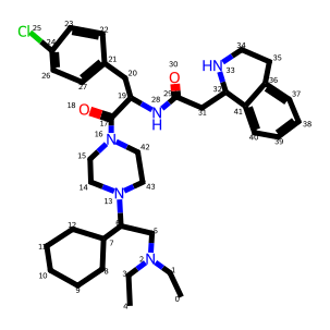 CCN(CC)CC(C1CCCCC1)N1CCN(C(=O)C(Cc2ccc(Cl)cc2)NC(=O)CC2NCCc3ccccc32)CC1